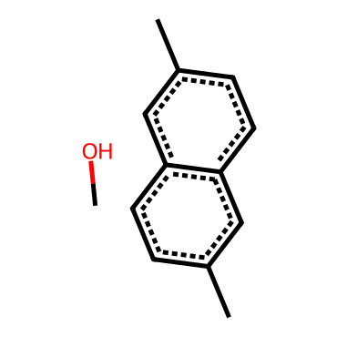 CO.Cc1ccc2cc(C)ccc2c1